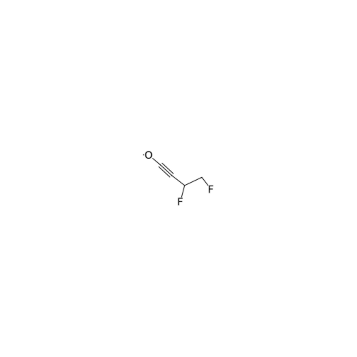 [O]C#CC(F)CF